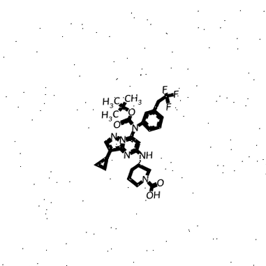 CC(C)(C)OC(=O)N(c1cccc(CC(F)(F)F)c1)c1cc(N[C@H]2CCCN(C(=O)O)C2)nc2c(C3CC3)cnn12